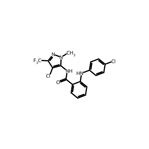 Cn1nc(C(F)(F)F)c(Cl)c1NC(=O)c1ccccc1Nc1ccc(Cl)cc1